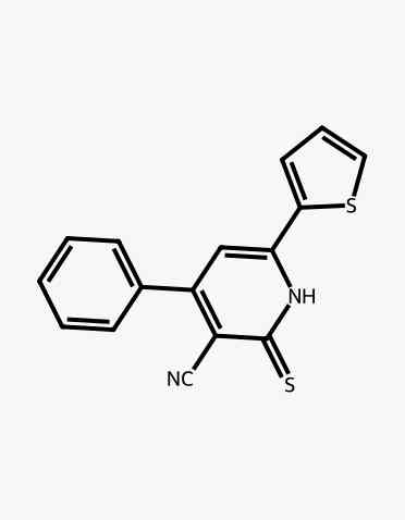 N#Cc1c(-c2ccccc2)cc(-c2cccs2)[nH]c1=S